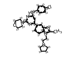 Cc1nc2cc(-c3cc(Nc4ccc(Cl)cc4)nc(N4CCOCC4)n3)ccc2n1CCN1CCCC1